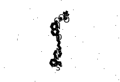 CC(C)(C)C(=O)OCOC1=NC2C=C(OCCCCN3CCN(c4cccc5sccc45)CC3)C=CC2C=C1